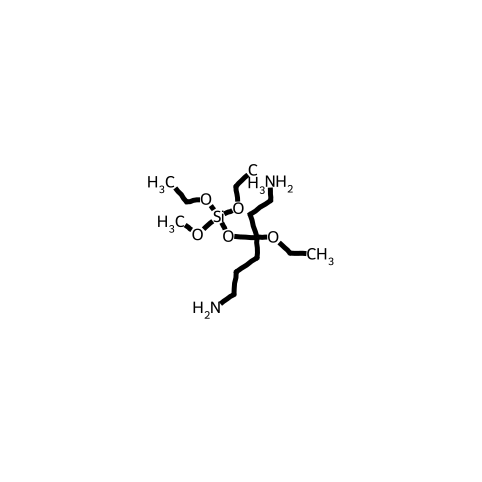 CCOC(CCN)(CCCN)O[Si](OC)(OCC)OCC